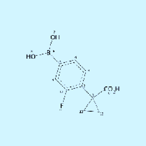 O=C(O)C1(c2ccc(B(O)O)cc2F)CC1